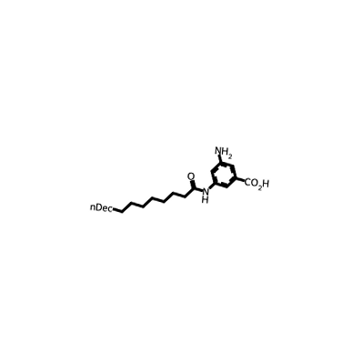 CCCCCCCCCCCCCCCCCC(=O)Nc1cc(N)cc(C(=O)O)c1